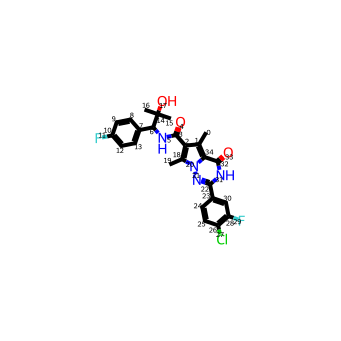 Cc1c(C(=O)NC(c2ccc(F)cc2)C(C)(C)O)c(C)n2nc(-c3ccc(Cl)c(F)c3)[nH]c(=O)c12